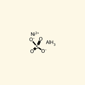 O=S(=O)([O-])[O-].[AlH3].[Ni+2]